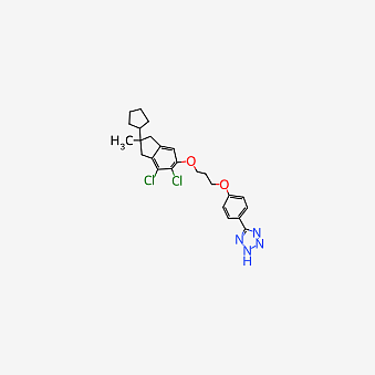 CC1(C2CCCC2)Cc2cc(OCCCOc3ccc(-c4nn[nH]n4)cc3)c(Cl)c(Cl)c2C1